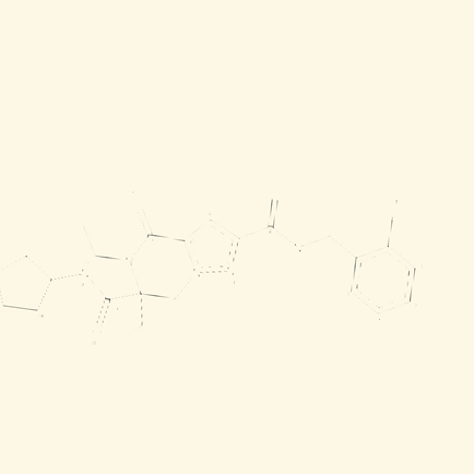 CCN1C(=O)c2cc(C(=O)NCc3ccccc3Cl)nn2CC1(C)C(=O)NC1CCCC1